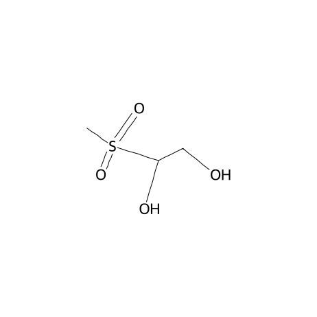 CS(=O)(=O)C(O)CO